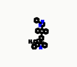 CC1(C)c2ccccc2-c2nc3ccccc3c(-c3ccc(-c4c5ccccc5c(-c5ccnc(-c6ccccc6)n5)c5ccccc45)cc3)c21